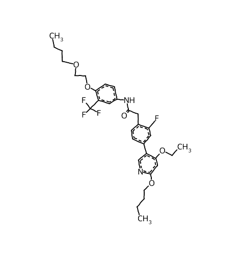 CCCCOCCOc1ccc(NC(=O)Cc2ccc(-c3cnc(OCCCC)cc3OCC)cc2F)cc1C(F)(F)F